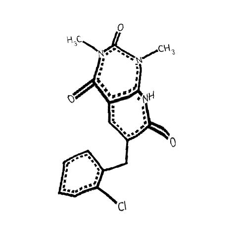 Cn1c(=O)c2cc(Cc3ccccc3Cl)c(=O)[nH]c2n(C)c1=O